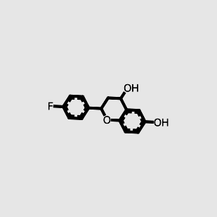 Oc1ccc2c(c1)C(O)CC(c1ccc(F)cc1)O2